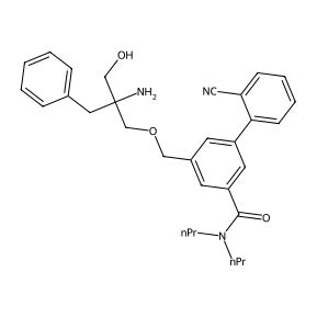 CCCN(CCC)C(=O)c1cc(COCC(N)(CO)Cc2ccccc2)cc(-c2ccccc2C#N)c1